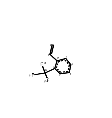 [CH]=Cc1ccccc1C(F)(F)F